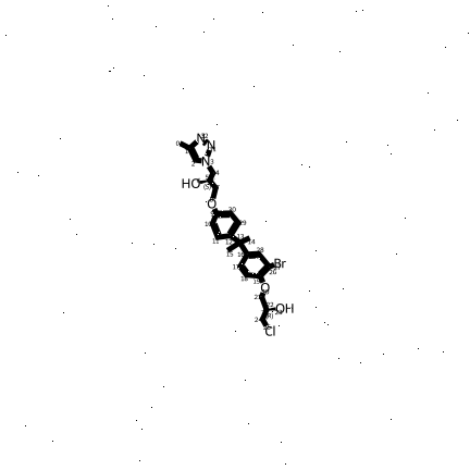 Cc1cn(C[C@H](O)COc2ccc(C(C)(C)c3ccc(OC[C@@H](O)CCl)c(Br)c3)cc2)nn1